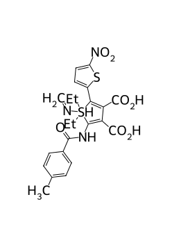 C=N[SH]1(CC)(CC)C(NC(=O)c2ccc(C)cc2)=C(C(=O)O)C(C(=O)O)=C1c1ccc([N+](=O)[O-])s1